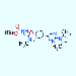 CC1CCC(C)N1c1ncc(-c2cccc(CN(C)C(=O)CNC(=O)OC(C)(C)C)c2)cn1